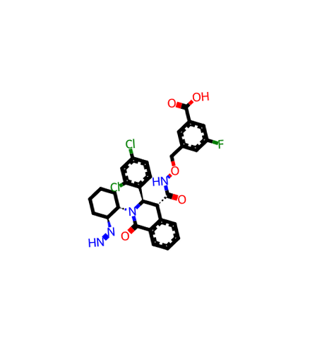 N=N[C@H]1CCCC[C@@H]1N1C(=O)c2ccccc2[C@@H](C(=O)NOCc2cc(F)cc(C(=O)O)c2)[C@@H]1c1ccc(Cl)cc1Cl